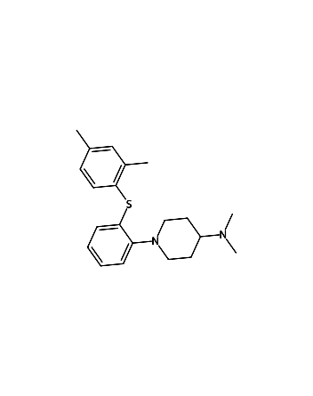 Cc1ccc(Sc2ccccc2N2CCC(N(C)C)CC2)c(C)c1